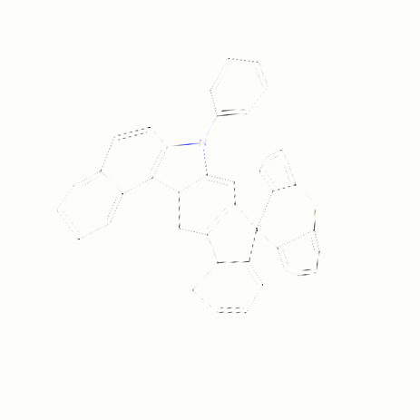 C1=CCC2C(=C1)C1(C3=C2CC2C(=C3)N(c3ccccc3)c3ccc4ccccc4c32)c2ccccc2Sc2ccccc21